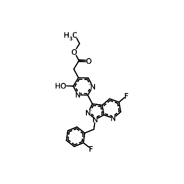 CCOC(=O)Cc1cnc(-c2nn(Cc3ccccc3F)c3ncc(F)cc23)nc1O